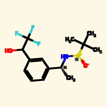 C[C@@H](N[S@+]([O-])C(C)(C)C)c1cccc(C(O)C(F)(F)F)c1